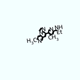 CCC(=N)c1cc(C)c(-c2cc3cnc(C)cc3n3ccnc23)cn1